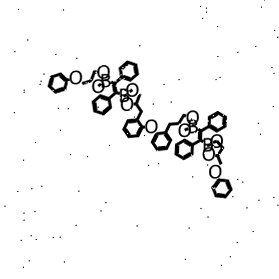 c1ccc(OCC2COB(C(=C(B3OCC(Cc4ccccc4Oc4ccccc4CC4COB(C(=C(B5OCC(COc6ccccc6)O5)c5ccccc5)c5ccccc5)O4)O3)c3ccccc3)c3ccccc3)O2)cc1